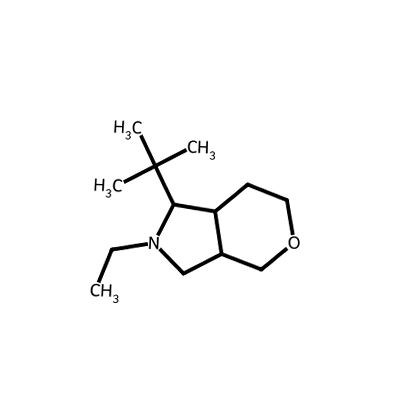 CCN1CC2COCCC2C1C(C)(C)C